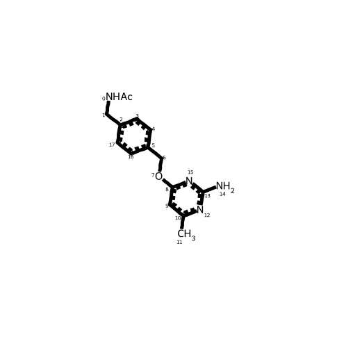 CC(=O)NCc1ccc(COc2cc(C)nc(N)n2)cc1